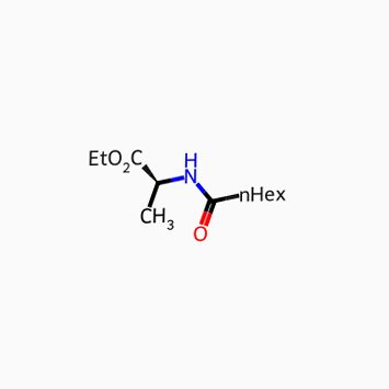 CCCCCCC(=O)N[C@@H](C)C(=O)OCC